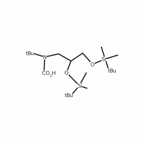 CC(C)(C)N(CC(CO[Si](C)(C)C(C)(C)C)O[Si](C)(C)C(C)(C)C)C(=O)O